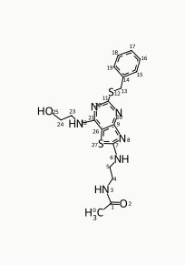 CC(=O)NCCNc1nc2nc(SCc3ccccc3)nc(NCCO)c2s1